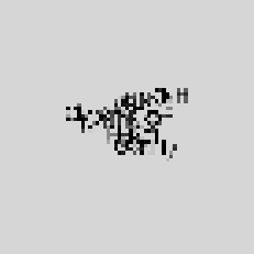 CC(C)(C)OC=O.O=C(NC(Cc1ccc(F)cc1)C(=O)CNC1CCNCC1)c1cc2cc(Cl)ncc2[nH]1